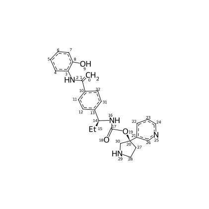 C=C(Nc1ccccc1O)c1ccc([C@H](CC)NC(=O)O[C@@]2(c3cccnc3)CCNC2)cc1